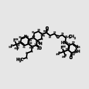 CCCCN1C(=O)[C@H]2CN(C(=O)CCOC[C@H](C)Nc3cn[nH]c(=O)c3C(F)(F)F)CCN2c2ncc(C(F)(F)F)cc21